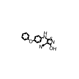 N#Cc1c(O)nsc1Nc1ccc(Oc2ccccc2)cc1